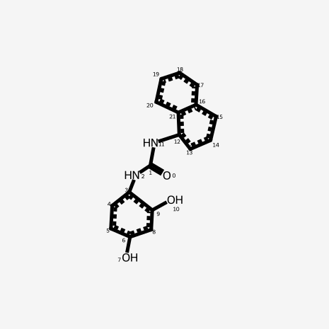 O=C(Nc1ccc(O)cc1O)Nc1cccc2ccccc12